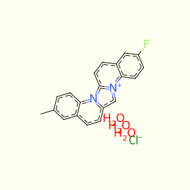 Cc1ccc2c(ccc3c[n+]4c5ccc(F)cc5ccc4n32)c1.O.O.O.[Cl-]